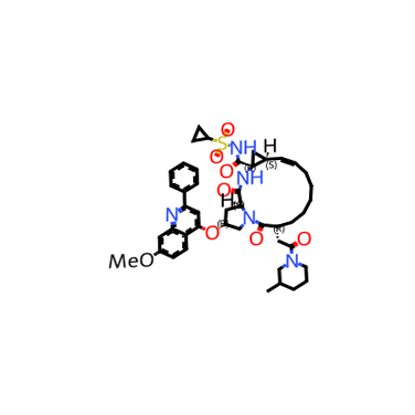 COc1ccc2c(O[C@@H]3C[C@H]4C(=O)N[C@]5(C(=O)NS(=O)(=O)C6CC6)C[C@H]5C=CCCCCC[C@H](CC(=O)N5CCCC(C)C5)C(=O)N4C3)cc(-c3ccccc3)nc2c1